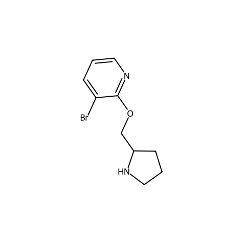 Brc1cccnc1OCC1CCCN1